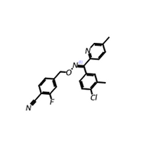 Cc1ccc(/C(=N/OCc2ccc(C#N)c(F)c2)c2ccc(Cl)c(C)c2)nc1